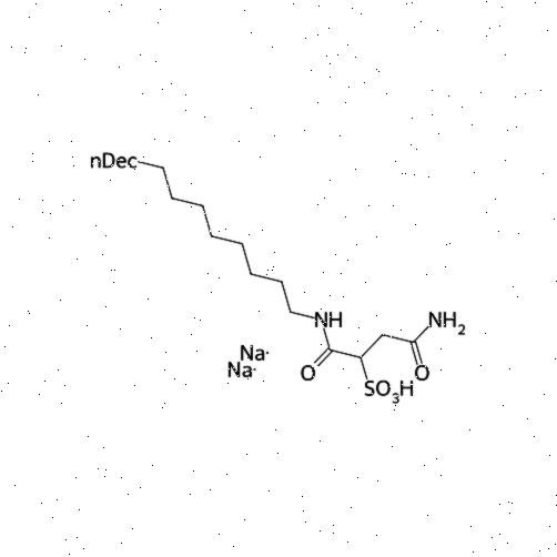 CCCCCCCCCCCCCCCCCCNC(=O)C(CC(N)=O)S(=O)(=O)O.[Na].[Na]